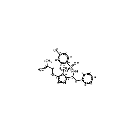 C=C(C)CSc1nnc(C(Cc2ccccc2)NS(=O)(=O)c2ccc(Cl)cc2)n1C